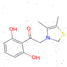 CC1=C(C)N(CC(=O)c2c(O)cccc2O)CS1